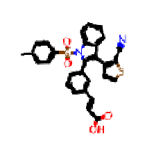 Cc1ccc(S(=O)(=O)n2c(-c3cccc(/C=C/C(=O)O)c3)c(-c3ccsc3C#N)c3ccccc32)cc1